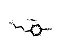 CC(C)O.NCCOc1ccc(C=O)cc1